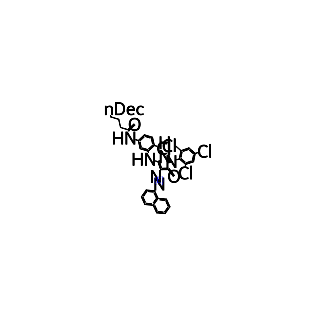 CCCCCCCCCCCCCC(=O)Nc1ccc(Cl)c(Nc2[nH]n(-c3c(Cl)cc(Cl)cc3Cl)c(=O)c2/N=N/c2cccc3ccccc23)c1